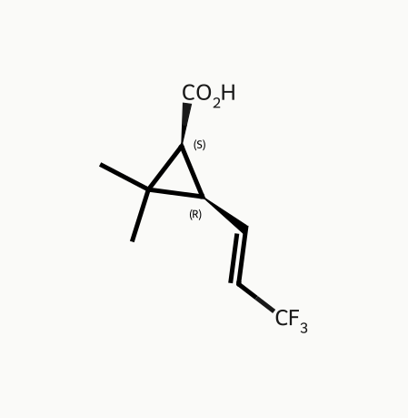 CC1(C)[C@H](C=CC(F)(F)F)[C@@H]1C(=O)O